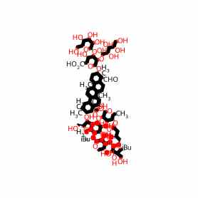 CC[C@H](C)[C@H](C[C@H](O)CC(=O)O[C@@H]1C(C)O[C@@H](OC(=O)[C@]23CCC(C)(C)CC2C2=CCC4[C@@]5(C)CC[C@H](O[C@@H]6OC(C(=O)O)[C@@H](O)C(O[C@@H]7OC(CO)[C@@H](O)C(O)C7O)C6O[C@H](O)C(O)[C@@H](O)C(O)CO)[C@@](C)(C=O)C5CC[C@@]4(C)[C@]2(C)C[C@H]3O)C(O[C@@H]2OC(C)[C@H](O[C@H]3OCC(O)[C@H](O[C@@H]4OCC(O)(CO)C4O)C3O)C(O)C2O)C1O)OC(=O)C[C@@H](O)C[C@H](O[C@@H]1O[C@@H](CO)C(O)C1O)[C@@H](C)CC